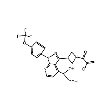 C=C(Cl)C(=O)N1CC(c2nn(-c3ccc(OC(F)(F)F)cc3)c3nccc(C(O)CO)c23)C1